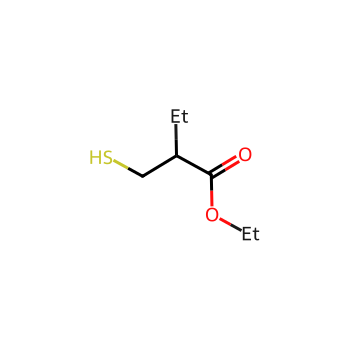 CCOC(=O)C(CC)CS